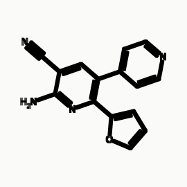 N#Cc1cc(-c2ccncc2)c(-c2ccco2)nc1N